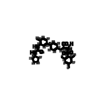 Cc1cc(C)c(S(=O)(=O)N[C@@H](Cc2ccc(-c3ccc(C)c(NC(=O)NC4CCCC4)c3)cc2)C(=O)O)c(C)c1